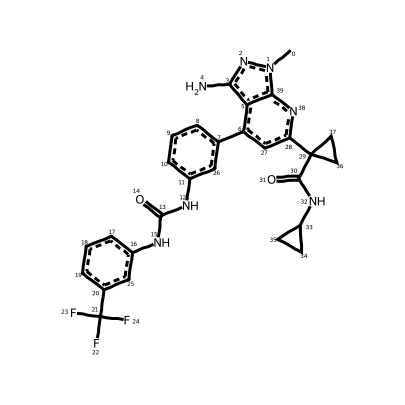 Cn1nc(N)c2c(-c3cccc(NC(=O)Nc4cccc(C(F)(F)F)c4)c3)cc(C3(C(=O)NC4CC4)CC3)nc21